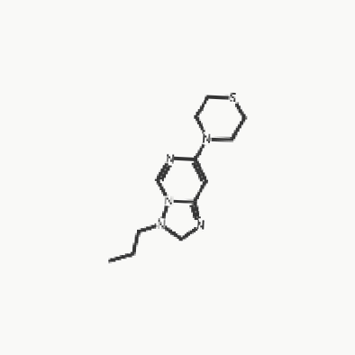 CCCN1CN=C2C=C(N3CCSCC3)N=CN21